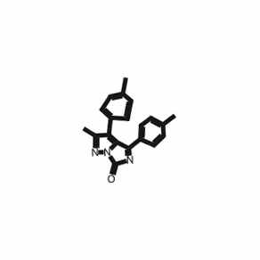 Cc1ccc(C2=NC(=O)n3nc(C)c(-c4ccc(C)cc4)c32)cc1